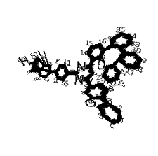 c1ccc2c(c1)oc1cc(-c3cc(-c4cccc5c4oc4ccccc4c4ccccc4c4ccccc54)nc(-c4ccc(C56CCC7C[C@H](C[C@H]7C5)C6)cc4)n3)ccc12